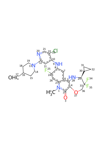 Cn1c(=O)c2c(c3cc(Nc4cc(N5CCC(C=O)CC5)ncc4Cl)c(F)cc31)N[C@@H](C1CC1)C(F)(F)CO2